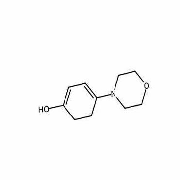 OC1=CC=C(N2CCOCC2)CC1